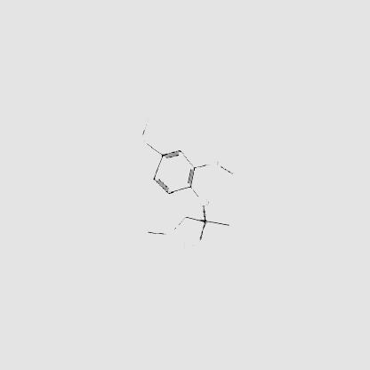 COCC(C)(O)Oc1ccc(OC)cc1OC